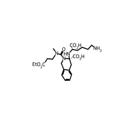 CCOC(=O)CCN(C)C(=O)N1Cc2ccccc2C[C@@]1(N[C@@H](CCCCN)C(=O)O)C(=O)O